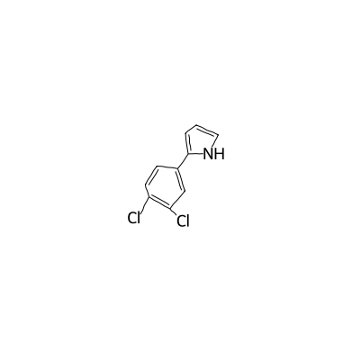 Clc1ccc(-c2ccc[nH]2)cc1Cl